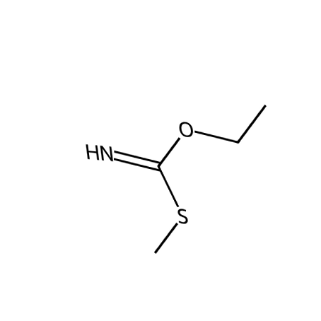 CCOC(=N)SC